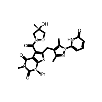 Cc1nn(-c2cccc(=O)[nH]2)c(C)c1Cc1sc2c(c1C(=O)N1C[C@](C)(O)CO1)c(=O)n(C)c(=O)n2C(C)C